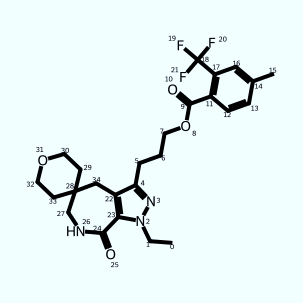 CCn1nc(CCCOC(=O)c2ccc(C)cc2C(F)(F)F)c2c1C(=O)NCC1(CCOCC1)C2